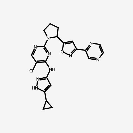 Clc1cnc(N2CCCC2c2cc(-c3cnccn3)no2)nc1Nc1cc(C2CC2)[nH]n1